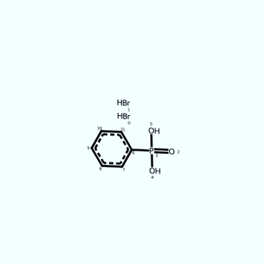 Br.Br.O=P(O)(O)c1ccccc1